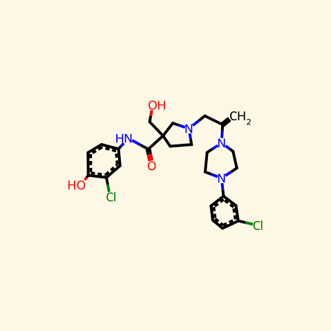 C=C(CN1CCC(CO)(C(=O)Nc2ccc(O)c(Cl)c2)C1)N1CCN(c2cccc(Cl)c2)CC1